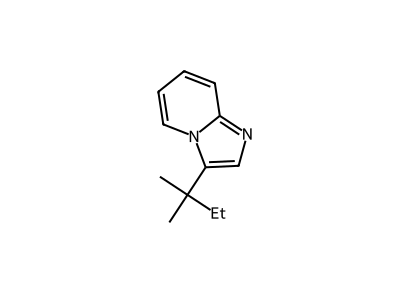 CCC(C)(C)c1cnc2ccccn12